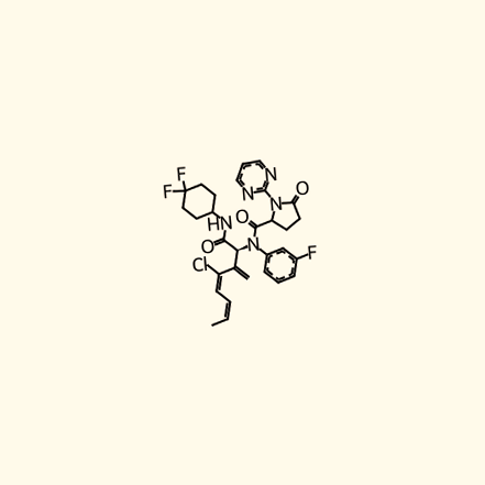 C=C(/C(Cl)=C\C=C/C)[C@@H](C(=O)NC1CCC(F)(F)CC1)N(C(=O)C1CCC(=O)N1c1ncccn1)c1cccc(F)c1